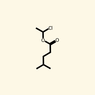 CC(C)CCC(=O)OC(C)Cl